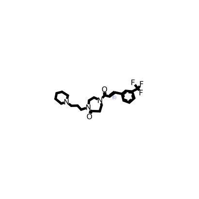 O=C(/C=C/c1cccc(C(F)(F)F)c1)N1CCC(=O)N(CCCN2CCCCC2)CC1